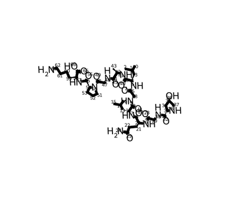 CC(C)C[C@@H](NC(=O)CNC(=O)[C@@H](CC(C)C)NC(=O)[C@H](CCC(N)=O)NC(=O)CNC(=O)[C@@H]1C[C@@H](O)CN1)C(=O)N[C@H](C)C(=O)NCC(=O)N1CCC[C@H]1C(=O)N[C@@H](CCCCN)C(=O)O